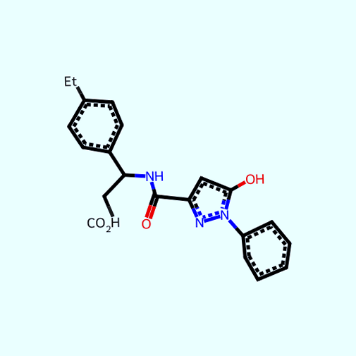 CCc1ccc(C(CC(=O)O)NC(=O)c2cc(O)n(-c3ccccc3)n2)cc1